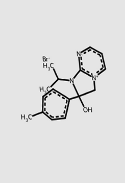 Cc1ccc(C2(O)C[n+]3cccnc3N2C(C)C)cc1.[Br-]